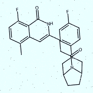 Cc1ccc(F)c2c(=O)[nH]c(CCC(=O)N3C4CCC3CN(c3ccc(F)cc3)C4)cc12